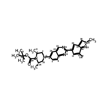 C[C@H]1CN(c2ccc3nc(-c4cc(F)c5nn(C)cc5c4)ncc3c2)C[C@H](C)N1C(=O)OC(C)(C)C